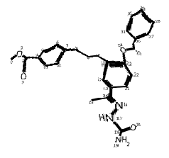 COC(=O)c1ccc(CCCc2cc(C(C)=NNC(N)=O)ccc2OCc2ccccc2)cc1